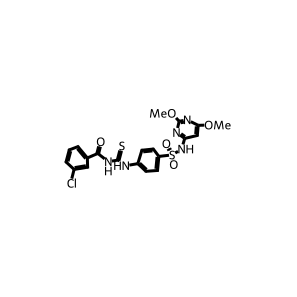 COc1cc(NS(=O)(=O)c2ccc(NC(=S)NC(=O)c3cccc(Cl)c3)cc2)nc(OC)n1